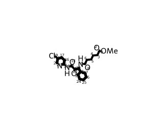 COC(=O)CCCCC(=O)Nc1c(C(=O)Nc2ccc(Cl)cn2)oc2ccccc12